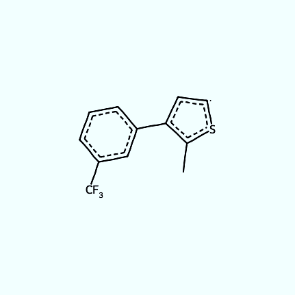 Cc1s[c]cc1-c1cccc(C(F)(F)F)c1